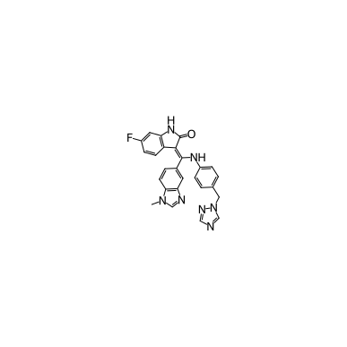 Cn1cnc2cc(/C(Nc3ccc(Cn4cncn4)cc3)=C3/C(=O)Nc4cc(F)ccc43)ccc21